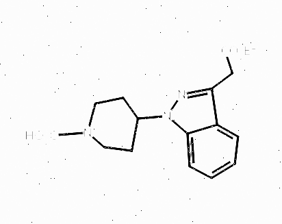 CCOC(=O)Cc1nn(C2CCN(C(=O)O)CC2)c2ccccc12